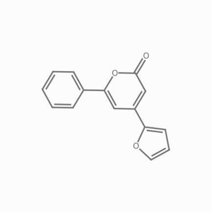 O=c1cc(-c2ccco2)cc(-c2ccccc2)o1